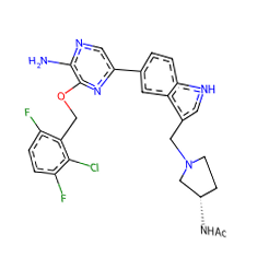 CC(=O)N[C@H]1CCN(Cc2c[nH]c3ccc(-c4cnc(N)c(OCc5c(F)ccc(F)c5Cl)n4)cc23)C1